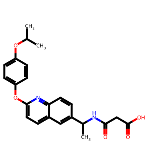 CC(C)Oc1ccc(Oc2ccc3cc(C(C)NC(=O)CC(=O)O)ccc3n2)cc1